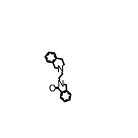 O=C1c2ccccc2CN1CCN1CCc2ccccc2C1